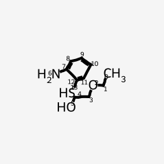 CCOCCO.Nc1ccccc1S